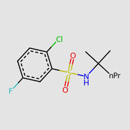 CCCC(C)(C)NS(=O)(=O)c1cc(F)ccc1Cl